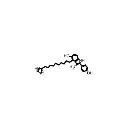 Cc1c(-c2ccc(O)cc2)[nH]c2ccc(O)c(CCCCCCCCCCc3nnn[nH]3)c12